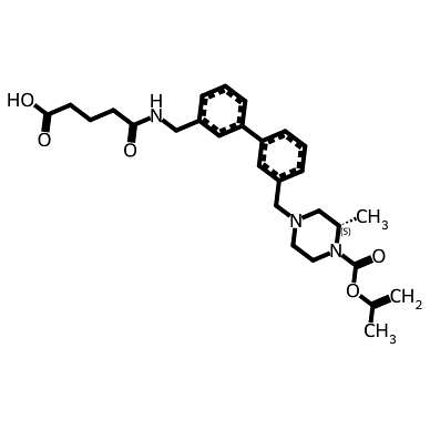 C=C(C)OC(=O)N1CCN(Cc2cccc(-c3cccc(CNC(=O)CCCC(=O)O)c3)c2)C[C@@H]1C